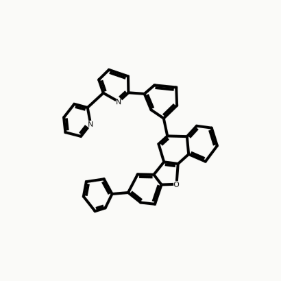 c1ccc(-c2ccc3oc4c5ccccc5c(-c5cccc(-c6cccc(-c7ccccn7)n6)c5)cc4c3c2)cc1